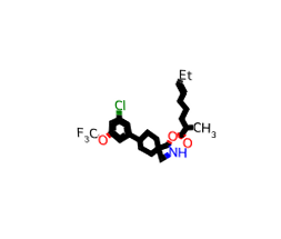 CCC=CCCCC(C)C(=O)OC1NCC12CCC(c1cc(Cl)cc(OC(F)(F)F)c1)CC2